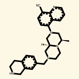 C[C@@H]1CN(c2ccc(C#N)c3ncccc23)C[C@@H]2CN(Cc3ccc4c(c3)CNCC4)CCN21